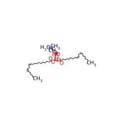 CCCCC/C=C\C/C=C\CCCCCCCCCC(=O)O[C@H](COC(=O)CCCCCCC/C=C\C/C=C\CCCCC)COP(=O)([O-])OCC[N+](C)(C)C